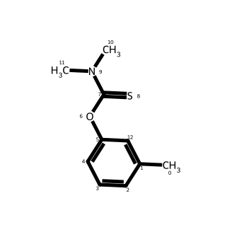 Cc1cccc(OC(=S)N(C)C)c1